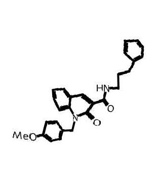 COc1ccc(Cn2c(=O)c(C(=O)NCCCc3ccccc3)cc3ccccc32)cc1